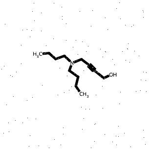 CCCCN(CC#CCO)CCCC